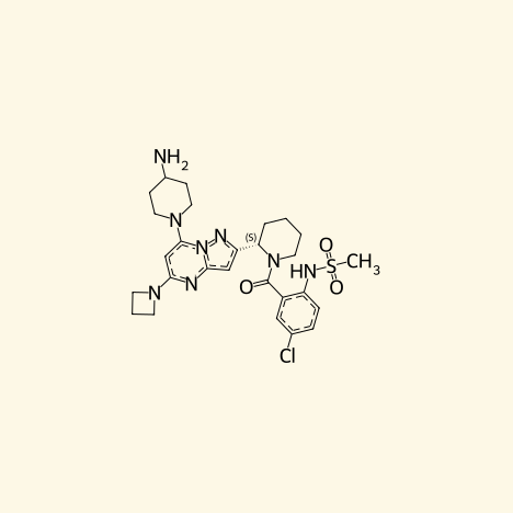 CS(=O)(=O)Nc1ccc(Cl)cc1C(=O)N1CCCC[C@H]1c1cc2nc(N3CCC3)cc(N3CCC(N)CC3)n2n1